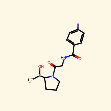 CB(O)C1CCCN1C(=O)CNC(=O)c1ccc(I)cc1